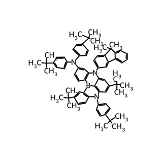 CC(C)(C)c1ccc(N(c2ccc(C(C)(C)C)cc2)c2ccc3c(c2)N(c2ccc4c(c2)-c2ccccc2C4(C)C)c2cc(C(C)(C)C)cc4c2B3c2cc(C(C)(C)C)ccc2N4c2ccc(C(C)(C)C)cc2)cc1